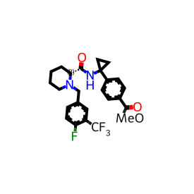 COC(=O)c1ccc(C2(NC(=O)[C@H]3CCCCN3Cc3ccc(F)c(C(F)(F)F)c3)CC2)cc1